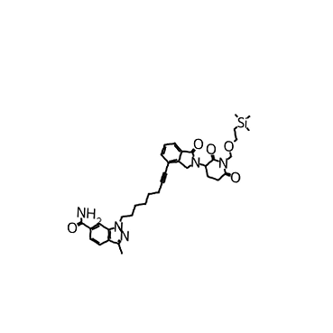 Cc1nn(CCCCCCC#Cc2cccc3c2CN(C2CCC(=O)N(COCC[Si](C)(C)C)C2=O)C3=O)c2cc(C(N)=O)ccc12